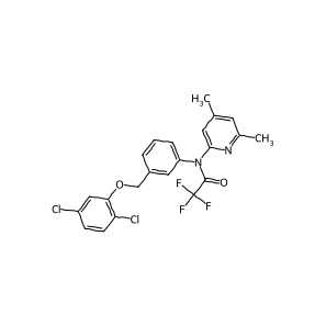 Cc1cc(C)nc(N(C(=O)C(F)(F)F)c2cccc(COc3cc(Cl)ccc3Cl)c2)c1